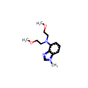 COCCN(CCOC)c1cccc2c1ncn2C